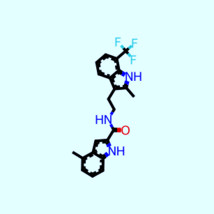 Cc1[nH]c2c(C(F)(F)F)cccc2c1CCNC(=O)c1cc2c(C)cccc2[nH]1